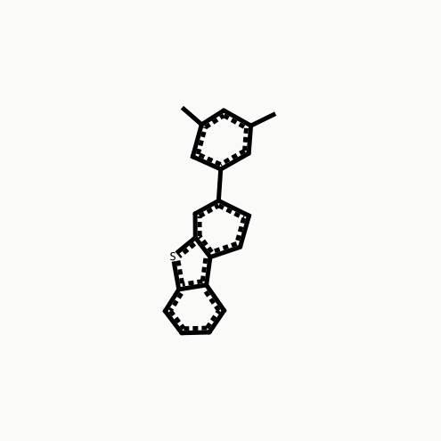 Cc1cc(C)cc(-c2ccc3c(c2)sc2ccccc23)c1